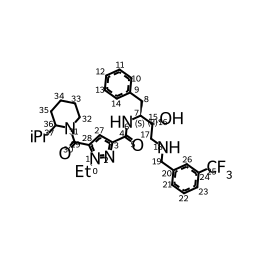 CCn1nc(C(=O)N[C@@H](Cc2ccccc2)[C@H](O)CNCc2cccc(C(F)(F)F)c2)cc1C(=O)N1CCCCC1C(C)C